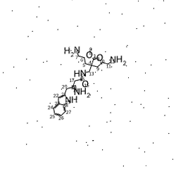 COC(=O)C(CCCN)(CCCN)CNC(=O)C[C@@H](N)Cc1cc2ccccc2[nH]1